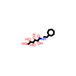 O=C(NCCC1CCCCCC1)C(O)C(O)C(O)C(O)CO